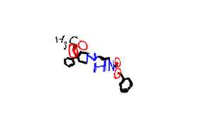 CC(=O)OC1(c2ccccc2)CCN(CCCNC(=O)OCc2ccccc2)CC1